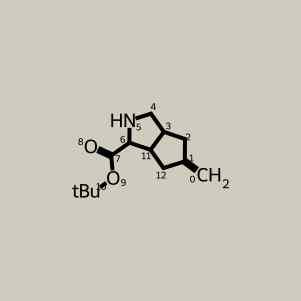 C=C1CC2CNC(C(=O)OC(C)(C)C)C2C1